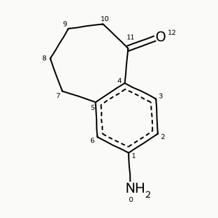 Nc1ccc2c(c1)CCCCC2=O